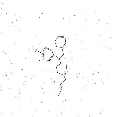 CCCCC1CCC(C(CC2CC=CCC2)c2ccc(F)cc2)CC1